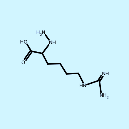 N=C(N)NCCCCC(NN)C(=O)O